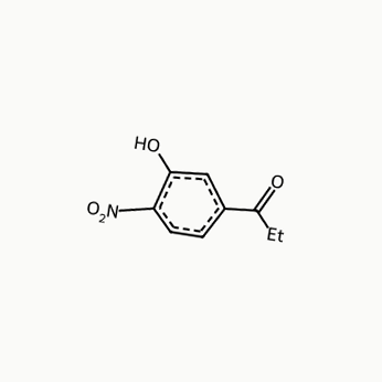 CCC(=O)c1ccc([N+](=O)[O-])c(O)c1